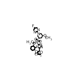 COc1cccc(OC)c1-n1c(NS(=O)(=O)[C@@H]2C[C@H](OC)CN(c3ncc(F)cn3)C2)nnc1-c1ccco1